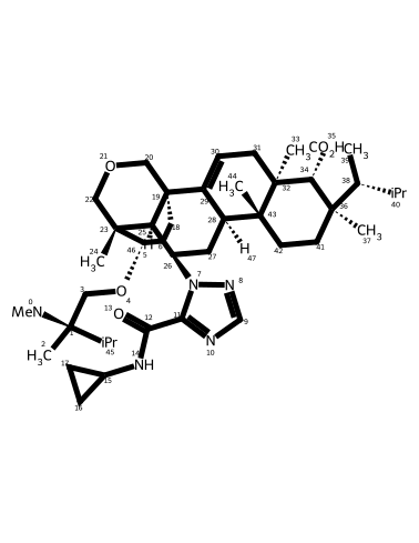 CN[C@@](C)(CO[C@H]1[C@H](n2ncnc2C(=O)NC2CC2)C[C@@]23COC[C@]1(C)[C@@H]2CC[C@H]1C3=CC[C@@]2(C)[C@H](C(=O)O)[C@@](C)([C@H](C)C(C)C)CC[C@]12C)C(C)C